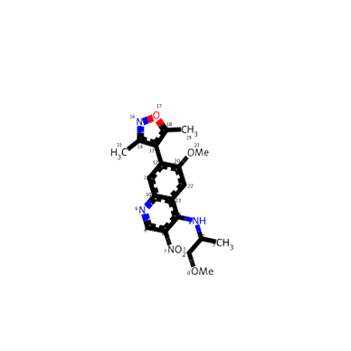 COCC(C)Nc1c([N+](=O)[O-])cnc2cc(-c3c(C)noc3C)c(OC)cc12